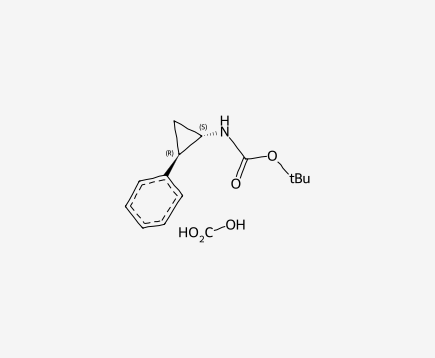 CC(C)(C)OC(=O)N[C@H]1C[C@@H]1c1ccccc1.O=C(O)O